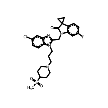 CS(=O)(=O)C1CCN(CCCn2c(CN3C(=O)C4(CC4)c4ccc(F)cc43)nc3cc(Cl)ccc32)CC1